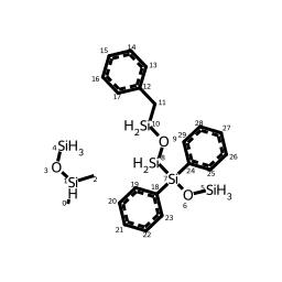 C[SiH](C)O[SiH3].[SiH3]O[Si]([SiH2]O[SiH2]Cc1ccccc1)(c1ccccc1)c1ccccc1